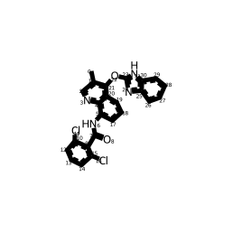 Cc1cnc2c(NC(=O)c3c(Cl)cccc3Cl)cccc2c1Oc1nc2ccccc2[nH]1